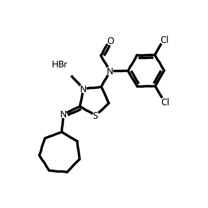 Br.CN1C(=NC2CCCCCC2)SCC1N(C=O)c1cc(Cl)cc(Cl)c1